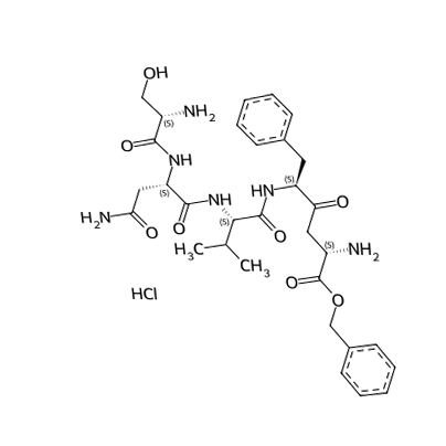 CC(C)[C@H](NC(=O)[C@H](CC(N)=O)NC(=O)[C@@H](N)CO)C(=O)N[C@@H](Cc1ccccc1)C(=O)C[C@H](N)C(=O)OCc1ccccc1.Cl